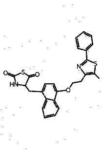 Cc1sc(-c2ccccc2)nc1CCOc1ccc(CC2NC(=O)SC2=O)c2ccccc12